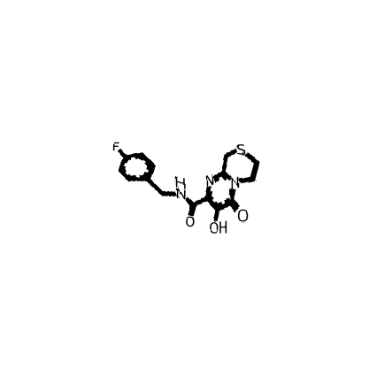 O=C(NCc1ccc(F)cc1)c1nc2n(c(=O)c1O)CCSC2